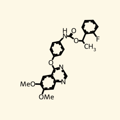 COc1cc2ncnc(Oc3ccc(NC(=O)OC(C)c4ccccc4F)cc3)c2cc1OC